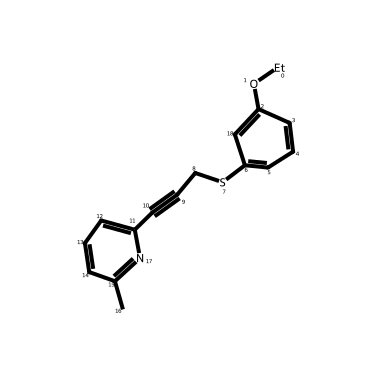 CCOc1cccc(SCC#Cc2cccc(C)n2)c1